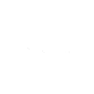 CCCNC(CCC)NCCC